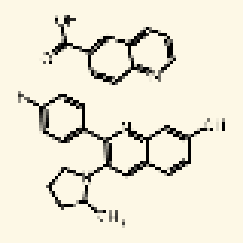 CC1CCCN1c1cc2ccc(O)cc2nc1-c1ccc(F)cc1.O=C(O)c1ccc2ncccc2c1